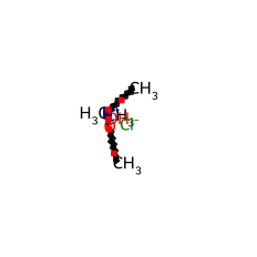 CCCCCCCCCCCCOCC(O)C[N+](C)(C)CCCCCCCCCCCC.[Cl-]